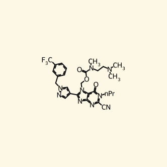 CCCn1c(C#N)nc2nc(-c3cnn(Cc4cccc(C(F)(F)F)c4)c3)n(COC(=O)N(C)CCN(C)C)c2c1=O